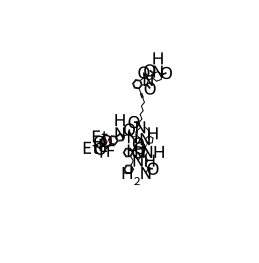 CCOP(=O)(OCC)C(F)(F)c1ccc2[nH]c(C(=O)N[C@H]3CN(C(=O)CCCCCC#Cc4cccc5c4C(=O)N(C4CCC(=O)NC4=O)C5=O)CC[C@H]4CC[C@@H](C(=O)N[C@@H](CCC(N)=O)C(=O)NC(c5ccccc5)c5ccccc5)N4C3=O)cc2c1